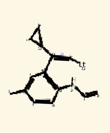 C=CNc1ccc(C)cc1/C(=C\CC)C1CC1